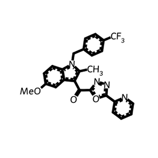 COc1ccc2c(c1)c(C(=O)c1nnc(-c3ccccn3)o1)c(C)n2Cc1ccc(C(F)(F)F)cc1